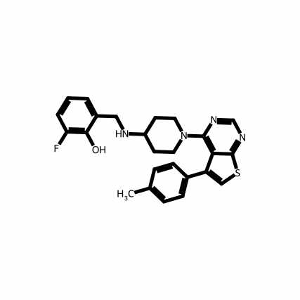 Cc1ccc(-c2csc3ncnc(N4CCC(NCc5cccc(F)c5O)CC4)c23)cc1